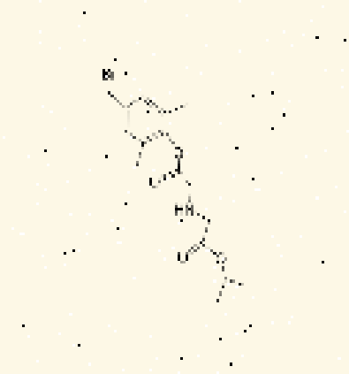 Cc1cc(CBr)cc(C)c1OC(=O)CNCC(=O)OC(C)(C)C